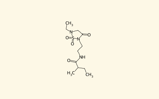 CCC(C)C(=O)NCCN1C(=O)CN(CC)S1(=O)=O